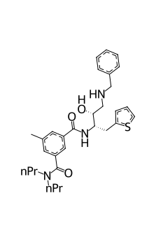 CCCN(CCC)C(=O)c1cc(C)cc(C(=O)N[C@@H](Cc2cccs2)[C@H](O)CNCc2ccccc2)c1